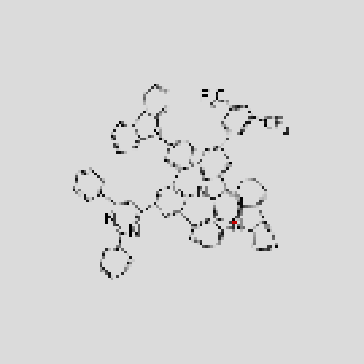 FC(F)(F)c1cc(-c2ccc3c(c2)c2ccccc2n3-c2c(-c3cccc(-n4c5ccccc5c5ccccc54)c3)cc(-c3cc(-c4ccccc4)nc(-c4ccccc4)n3)cc2-c2cccc(-n3c4ccccc4c4ccccc43)c2)cc(C(F)(F)F)c1